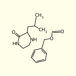 CC(C)CC1NCCNC1=O.O=COCc1ccccc1